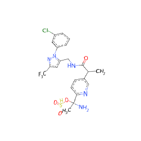 CC(C(=O)NCc1cc(C(F)(F)F)nn1-c1cccc(Cl)c1)c1ccc(C(C)(N)O[SH](=O)=O)nc1